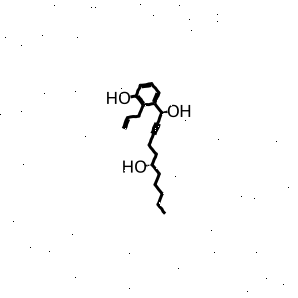 C=CCc1c(O)cccc1[C@@H](O)C#CCC[C@@H](O)CCCCC